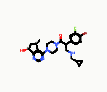 C[C@@H]1C[C@@H](O)c2ncnc(N3CCN(C(=O)C(CNCC4CC4)c4ccc(Br)c(F)c4)CC3)c21